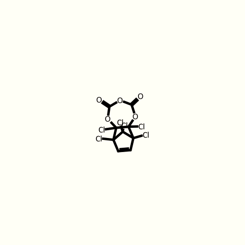 O=C1OC(=O)OC2(Cl)C3(Cl)C=CC(Cl)(C3(Cl)Cl)C2(Cl)O1